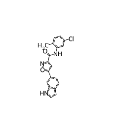 Cc1ccc(Cl)cc1NC(=O)c1cc(-c2ccc3cc[nH]c3c2)on1